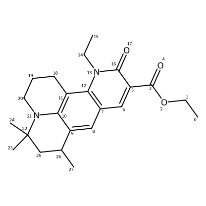 CCOC(=O)c1cc2cc3c4c(c2n(CC)c1=O)CCCN4C(C)(C)CC3C